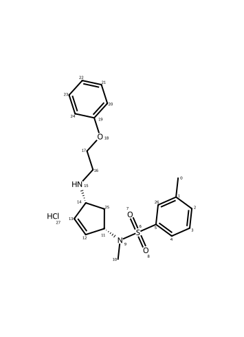 Cc1cccc(S(=O)(=O)N(C)[C@@H]2C=C[C@H](NCCOc3ccccc3)C2)c1.Cl